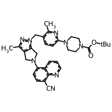 Cc1nc(N2CCN(C(=O)OC(C)(C)C)CC2)ccc1Cn1nc(C)c2c1CN(c1ccc(C#N)c3ncccc13)C2